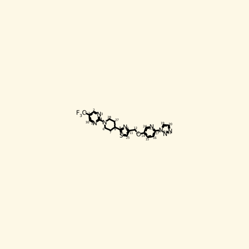 FC(F)(F)c1cnc(N2CCC(c3nc(COc4ccc(-n5ccnn5)nc4)cs3)CC2)nc1